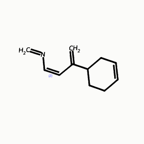 C=N/C=C\C(=C)C1CC=CCC1